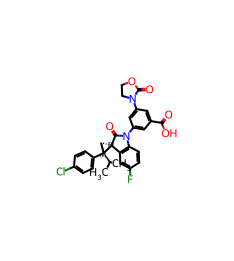 CC(C)[C@@]1(c2ccc(Cl)cc2)C[C@@]12C(=O)N(c1cc(C(=O)O)cc(N3CCOC3=O)c1)c1ccc(F)cc12